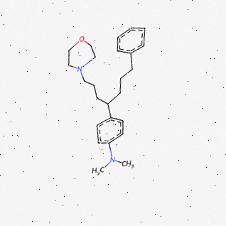 CN(C)c1ccc(C(CCCc2ccccc2)CCCN2CCOCC2)cc1